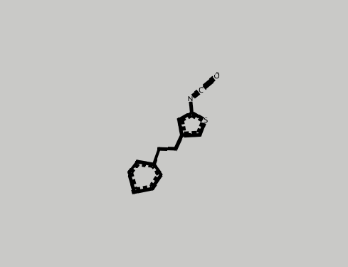 O=C=Nc1cc(CCc2ccccc2)cs1